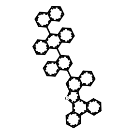 c1ccc2c(-c3c4ccccc4c(-c4ccc(-c5cc6oc7c8ccccc8c8ccccc8c7c6c6ccccc56)c5ccccc45)c4ccccc34)cccc2c1